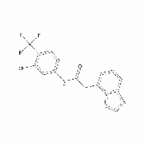 O=C(Cc1cccc2nccn12)Nc1ccc(C(F)(F)F)c(Cl)c1